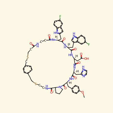 COc1ccc(C[C@@H]2NC(=O)[C@H](Cc3ncc[nH]3)NC(=O)[C@H](CC(=O)O)NC(=O)[C@H](Cc3c[nH]c4ccc(F)cc34)NC(=O)[C@H](Cc3cc4cc(F)ccc4[nH]3)NC(=O)CCNC(=O)CCSCc3ccc(cc3)CSCCNC(=O)[C@]3(C)CCCN3C2=O)cc1